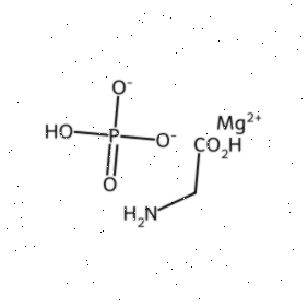 NCC(=O)O.O=P([O-])([O-])O.[Mg+2]